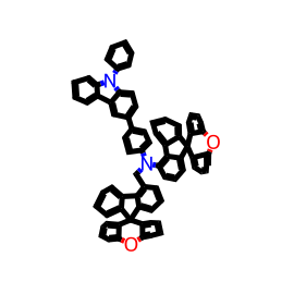 c1ccc(-n2c3ccccc3c3cc(-c4ccc(N(Cc5cccc6c5-c5ccccc5C65c6ccccc6Oc6ccccc65)c5cccc6c5-c5ccccc5C65c6ccccc6Oc6ccccc65)cc4)ccc32)cc1